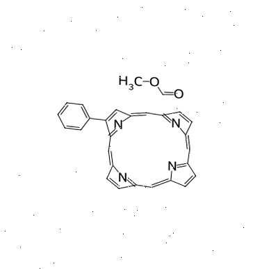 C1=CC2=NC1=CC1=NC(=CC3=NC(=CC4=NC(=C2)C=C4)C=C3c2ccccc2)C=C1.COC=O